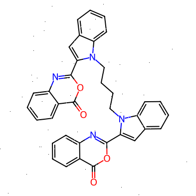 O=c1oc(-c2cc3ccccc3n2CCCCn2c(-c3nc4ccccc4c(=O)o3)cc3ccccc32)nc2ccccc12